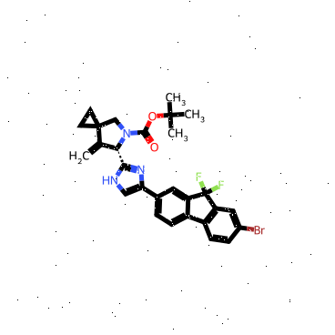 C=C1[C@@H](c2nc(-c3ccc4c(c3)C(F)(F)c3cc(Br)ccc3-4)c[nH]2)N(C(=O)OC(C)(C)C)CC12CC2